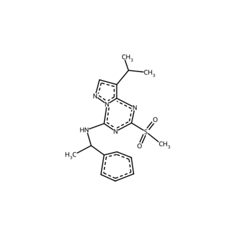 CC(C)c1cnn2c(NC(C)c3ccccc3)nc(S(C)(=O)=O)nc12